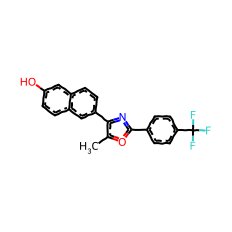 Cc1oc(-c2ccc(C(F)(F)F)cc2)nc1-c1ccc2cc(O)ccc2c1